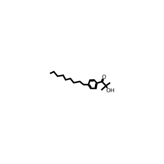 CCCCCCCCCc1ccc(C(=O)C(C)(C)O)cc1